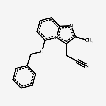 Cc1nc2cccc(OCc3ccccc3)n2c1CC#N